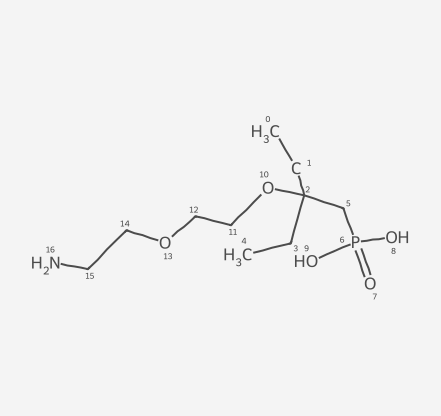 CCC(CC)(CP(=O)(O)O)OCCOCCN